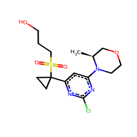 C[C@H]1COCCN1c1cc(C2(S(=O)(=O)CCCO)CC2)nc(Cl)n1